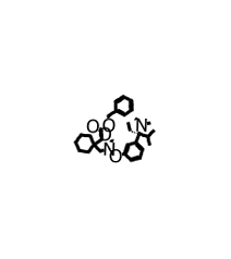 CC[C@@](c1cccc(ON(C=O)CC2(CC(=O)OCc3ccccc3)CCCCC2)c1)(C(C)C)N(C)C